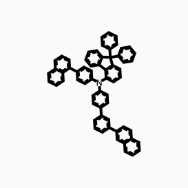 c1ccc(C2(c3ccccc3)c3ccccc3-c3c(N(c4ccc(-c5cccc(-c6ccc7ccccc7c6)c5)cc4)c4ccc(-c5cccc6ccccc56)cc4)cccc32)cc1